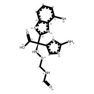 Nc1nc([C@](NOCNC=O)(C(=O)O)c2nc3c(S)cccc3s2)cs1